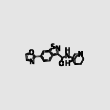 O=C(N[C@@H]1CN2CCC1CC2)c1nsc2cc(-c3ncco3)ccc12